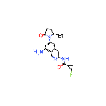 CCC1CCC(=O)N1c1cc(N)c2cnc(NC(=O)[C@H]3C[C@H]3F)cc2c1